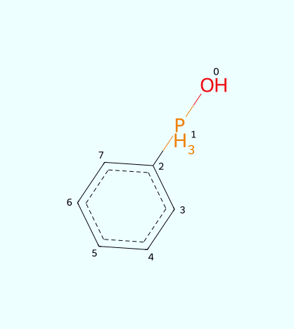 O[PH3]c1ccccc1